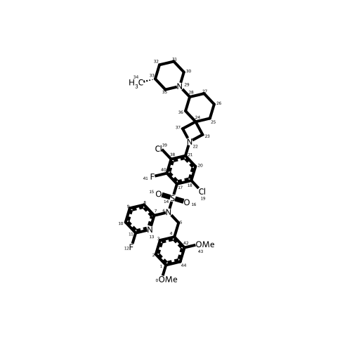 COc1ccc(CN(c2cccc(F)n2)S(=O)(=O)c2c(Cl)cc(N3CC4(CCCC(N5CCC[C@@H](C)C5)C4)C3)c(Cl)c2F)c(OC)c1